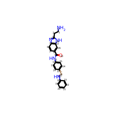 NCCc1nc2ccc(C(=O)Nc3ccc(SNc4ccccc4)cc3)cc2[nH]1